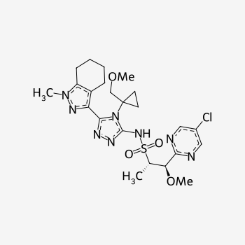 COCC1(n2c(NS(=O)(=O)[C@@H](C)[C@H](OC)c3ncc(Cl)cn3)nnc2-c2nn(C)c3c2CCCC3)CC1